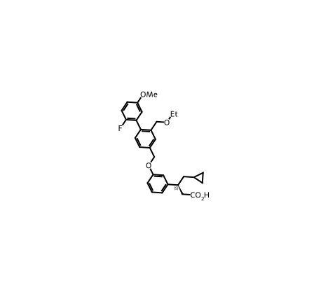 CCOCc1cc(COc2cccc([C@H](CC(=O)O)CC3CC3)c2)ccc1-c1cc(OC)ccc1F